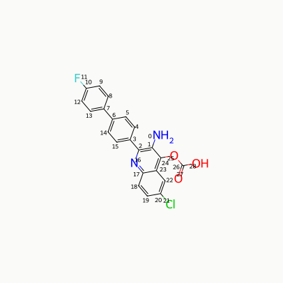 Nc1c(-c2ccc(-c3ccc(F)cc3)cc2)nc2ccc(Cl)cc2c1OC(=O)O